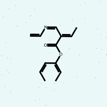 C=C/N=C\C(=C/C)C(=O)OC(/C=C\C)=C/C